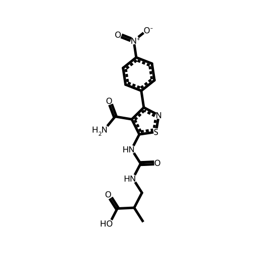 CC(CNC(=O)Nc1snc(-c2ccc([N+](=O)[O-])cc2)c1C(N)=O)C(=O)O